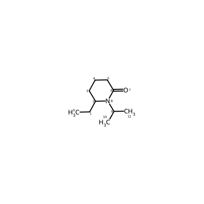 CCC1CCCC(=O)N1C(C)C